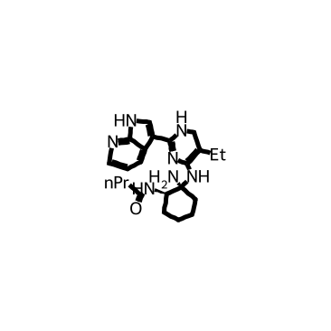 CCCC(=O)N[C@@H]1CCCC[C@@]1(N)NC1=C(CC)CNC(c2c[nH]c3ncccc23)=N1